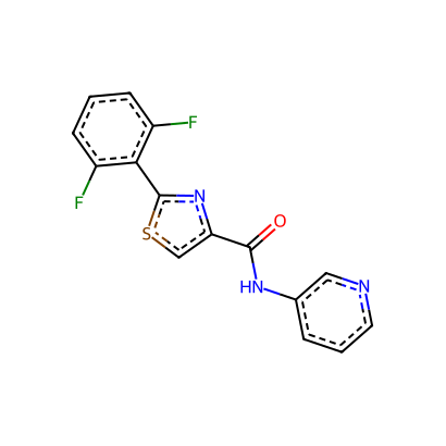 O=C(Nc1cccnc1)c1csc(-c2c(F)cccc2F)n1